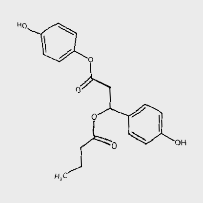 CCCC(=O)OC(CC(=O)Oc1ccc(O)cc1)c1ccc(O)cc1